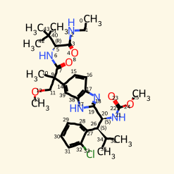 CCNC(=O)[C@H](NC(=O)C(C)(COC)c1ccc2nc([C@@H](NC(=O)OC)[C@H](c3ccccc3Cl)C(C)C)[nH]c2c1)C(C)(C)C